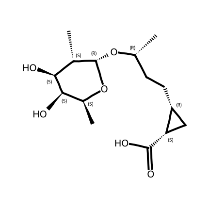 C[C@@H]1[C@H](O[C@H](C)CC[C@@H]2C[C@@H]2C(=O)O)O[C@@H](C)[C@@H](O)[C@H]1O